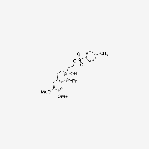 COc1cc2c(cc1OC)[C@H](C(C)C)[C@](O)(CCOS(=O)(=O)c1ccc(C)cc1)CC2